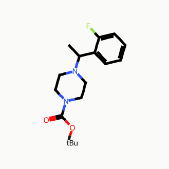 CC(c1ccccc1F)N1CCN(C(=O)OC(C)(C)C)CC1